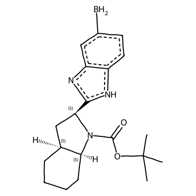 Bc1ccc2[nH]c([C@@H]3C[C@@H]4CCCC[C@@H]4N3C(=O)OC(C)(C)C)nc2c1